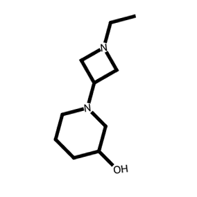 CCN1CC(N2CCCC(O)C2)C1